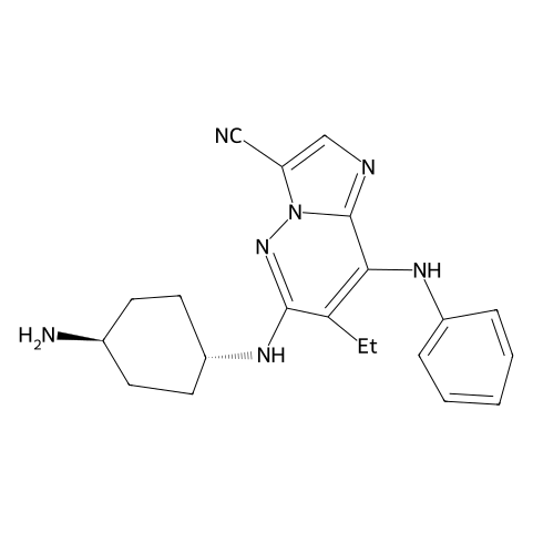 CCc1c(N[C@H]2CC[C@H](N)CC2)nn2c(C#N)cnc2c1Nc1ccccc1